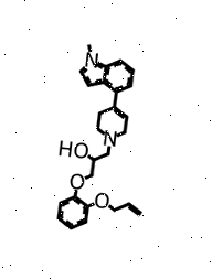 C=CCOc1ccccc1OCC(O)CN1CC=C(c2cccc3c2ccn3C)CC1